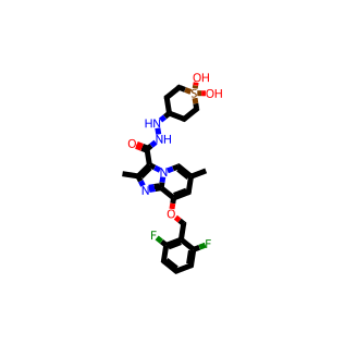 Cc1cc(OCc2c(F)cccc2F)c2nc(C)c(C(=O)NNC3CCS(O)(O)CC3)n2c1